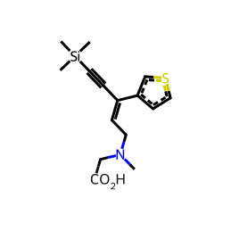 CN(C/C=C(/C#C[Si](C)(C)C)c1ccsc1)CC(=O)O